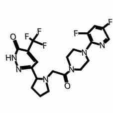 O=C(CN1CCCC1c1cc(C(F)(F)F)c(=O)[nH]n1)N1CCN(c2ncc(F)cc2F)CC1